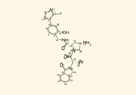 Cc1ncsc1-c1ccc(CNC(=O)[C@@H]2CC(N)CN2C(=O)[C@H](C(C)C)N2Cc3ccccc3C2=O)c(O)c1